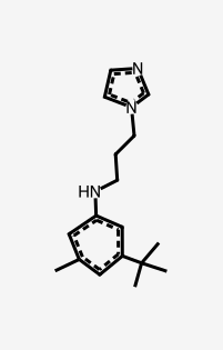 Cc1cc(NCCCn2ccnc2)cc(C(C)(C)C)c1